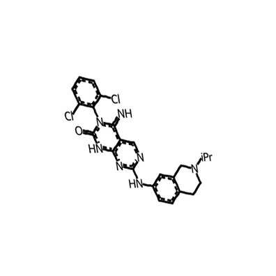 CC(C)N1CCc2ccc(Nc3ncc4c(=N)n(-c5c(Cl)cccc5Cl)c(=O)[nH]c4n3)cc2C1